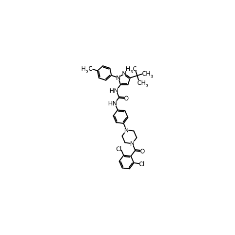 Cc1ccc(-n2nc(C(C)(C)C)cc2NC(=O)Nc2ccc(N3CCN(C(=O)c4c(Cl)cccc4Cl)CC3)cc2)cc1